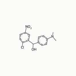 CN(C)c1ccc(C(O)c2cc([N+](=O)[O-])ccc2Cl)cc1